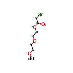 CCOCCOCCOC(=O)CBr